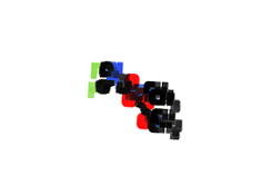 CN(C)C(=O)C=CCCC(OC(=O)N(C)C)C(=O)Nc1cccn(Cc2nc3ccc(F)cc3n2Cc2ccc(F)cc2)c1=O